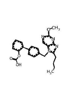 CCCCc1nc2nc(OC)ncc2n1Cc1ccc(-c2ccccc2OC(=O)O)cc1